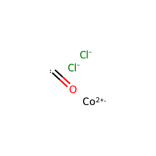 [C]=O.[Cl-].[Cl-].[Co+2]